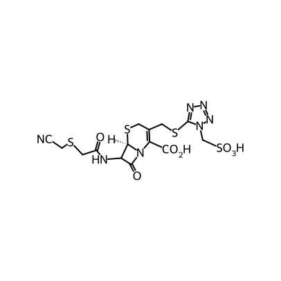 N#CCSCC(=O)NC1C(=O)N2C(C(=O)O)=C(CSc3nnnn3CS(=O)(=O)O)CS[C@H]12